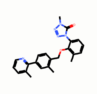 Cc1cc(-c2ncccc2C)ccc1COc1c(C)cccc1-n1nnn(C)c1=O